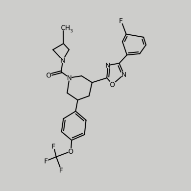 CC1CN(C(=O)N2CC(c3ccc(OC(F)(F)F)cc3)CC(c3nc(-c4cccc(F)c4)no3)C2)C1